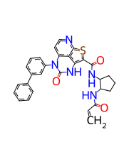 C=CC(=O)NC1CCCC1NC(=O)c1sc2nccc3c2c1NC(=O)N3c1cccc(-c2ccccc2)c1